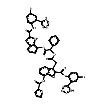 O=C(Cc1c(C(=O)Nc2ccc(Br)cc2-c2nnn[nH]2)[nH]c2c(NC(=O)c3cccs3)cccc12)OC(C(=O)Nc1cccc2cc(C(=O)Nc3ccc(Br)cc3-c3nnn[nH]3)[nH]c12)c1ccccc1